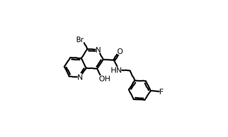 O=C(NCc1cccc(F)c1)c1nc(Br)c2cccnc2c1O